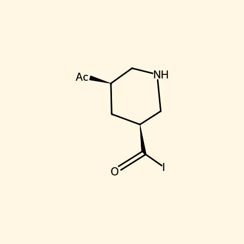 CC(=O)[C@H]1CNC[C@@H](C(=O)I)C1